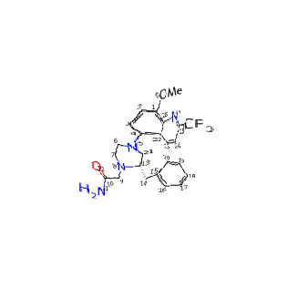 COc1ccc(N2CCN(CC(N)=O)[C@@H](Cc3ccccc3)C2)c2ccc(C(F)(F)F)nc12